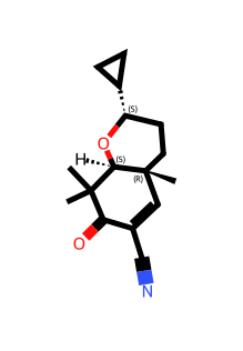 CC1(C)C(=O)C(C#N)=C[C@@]2(C)CC[C@@H](C3CC3)O[C@H]12